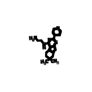 CC1(C)CCc2c(sc3nc(-c4ccncc4)nc(NCCN)c23)C1